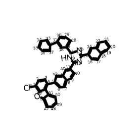 Clc1ccc(-c2ccc3ccc(C4=NC(c5ccc6ccccc6c5)=NC(c5cccc(-c6ccccc6)c5)N4)cc3c2)c2c1oc1ccccc12